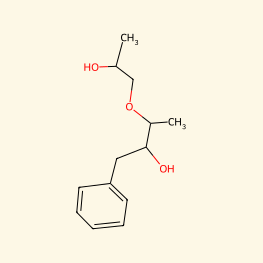 CC(O)COC(C)C(O)Cc1ccccc1